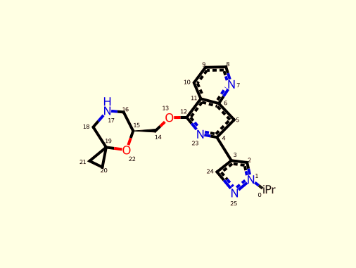 CC(C)n1cc(-c2cc3ncccc3c(OC[C@@H]3CNCC4(CC4)O3)n2)cn1